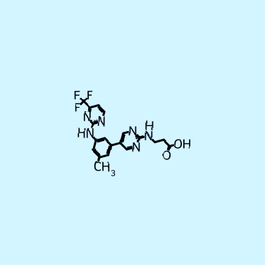 Cc1cc(Nc2nccc(C(F)(F)F)n2)cc(-c2cnc(NCCC(=O)O)nc2)c1